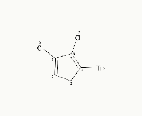 ClC1=CC[C]([Ti])=C1Cl